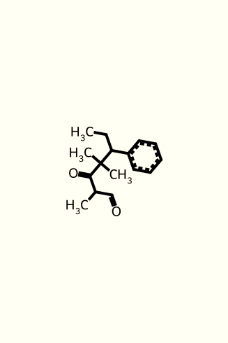 CCC(c1ccccc1)C(C)(C)C(=O)C(C)C=O